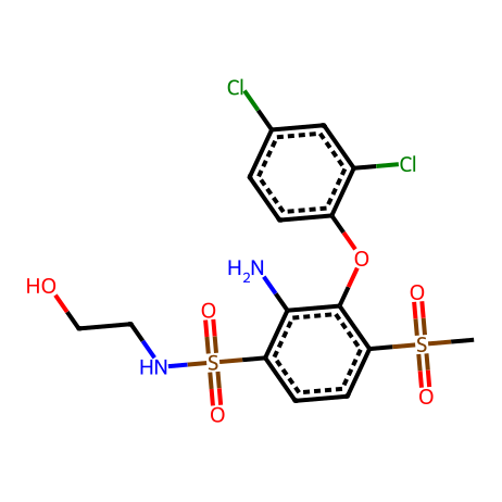 CS(=O)(=O)c1ccc(S(=O)(=O)NCCO)c(N)c1Oc1ccc(Cl)cc1Cl